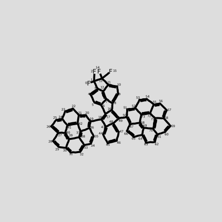 FC1(F)c2ccc3c4c(ccc(c24)C1(F)F)-c1c-3c(-c2cc3ccc4ccc5ccc6ccc7ccc2c2c7c6c5c4c32)c2ccccc2c1-c1cc2ccc3ccc4ccc5ccc6ccc1c1c6c5c4c3c21